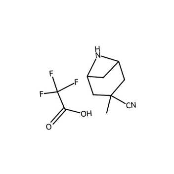 CC1(C#N)CC2CC(C1)N2.O=C(O)C(F)(F)F